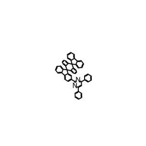 c1ccc(-c2cc(-c3ccccc3)nc(-c3ccc4c(c3)C3(c5ccccc5-4)c4ccccc4C4(c5ccccc5-c5ccccc54)c4ccccc43)n2)cc1